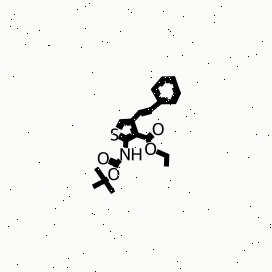 CCOC(=O)c1c(/C=C/c2ccccc2)csc1NC(=O)OC(C)(C)C